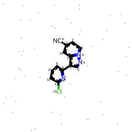 N#Cc1ccn2ncc(-c3cccc(Cl)n3)c2c1